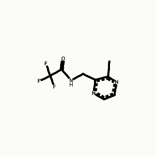 Cc1nccnc1CNC(=O)C(F)(F)F